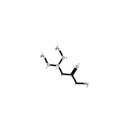 CC(=O)CC(=O)[CH2][Ti]([O]C(C)C)[O]C(C)C